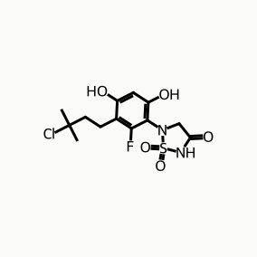 CC(C)(Cl)CCc1c(O)cc(O)c(N2CC(=O)NS2(=O)=O)c1F